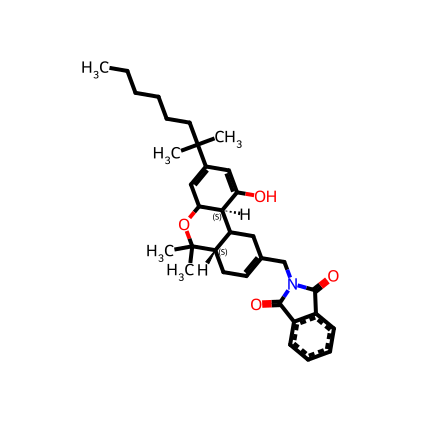 CCCCCCC(C)(C)C1=CC2OC(C)(C)[C@H]3CC=C(CN4C(=O)c5ccccc5C4=O)CC3[C@@H]2C(O)=C1